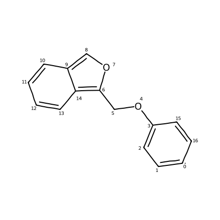 [c]1ccc(OCc2occ3ccccc23)cc1